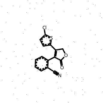 N#Cc1ccccc1C1=C(c2ccc(Cl)s2)COC1=O